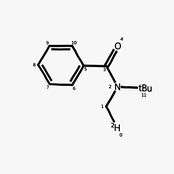 [2H]CN(C(=O)c1ccccc1)C(C)(C)C